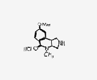 COc1ccc2c(c1)C1CNCC1N(C)C2=O.Cl